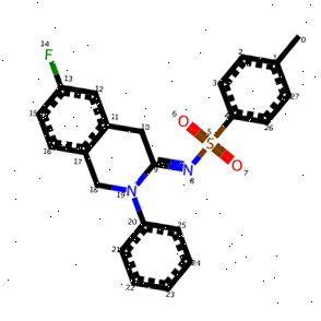 Cc1ccc(S(=O)(=O)N=C2Cc3cc(F)ccc3CN2c2ccccc2)cc1